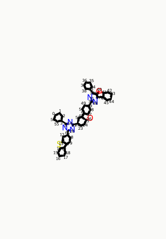 c1ccc(-c2nc(-c3ccc4c(c3)sc3ccccc34)nc(-c3ccc4oc5cc(-c6nc(-c7ccccc7)c7oc8ccccc8c7n6)ccc5c4c3)n2)cc1